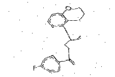 C=C(CCC(=C)c1cccc2c1CCCO2)c1ccc(F)cc1